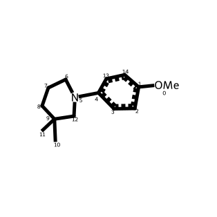 COc1ccc(N2CCCC(C)(C)C2)cc1